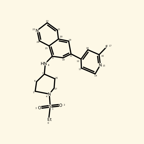 CCS(=O)(=O)N1CCC(Nc2cc(-c3ccnc(F)c3)cc3ccncc23)CC1